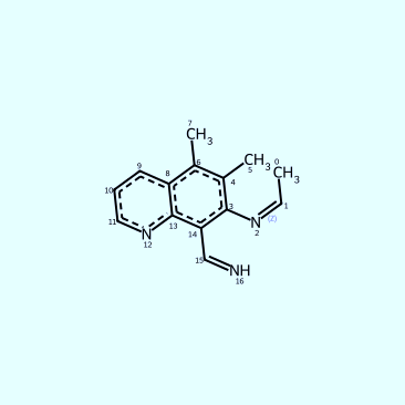 C/C=N\c1c(C)c(C)c2cccnc2c1C=N